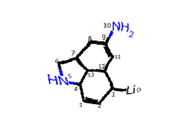 [Li][CH]1C=CC2NCC3CC(N)=CC1C32